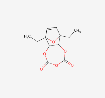 CCC12C=CC(CC)(O1)C1OC(=O)OC(=O)OC12